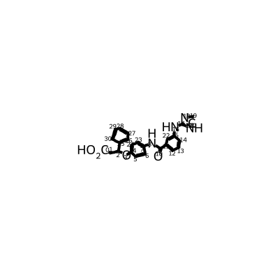 O=C(O)CC(Oc1ccc(NC(=O)c2cccc(NC3=NCCN3)c2)cc1)c1ccccc1